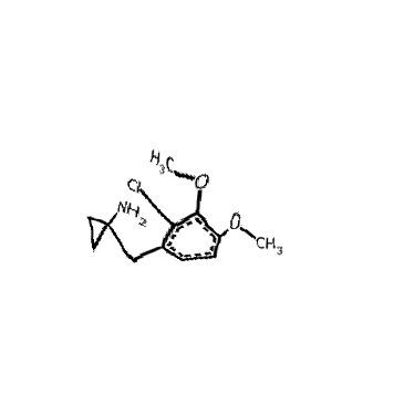 COc1ccc(CC2(N)CC2)c(Cl)c1OC